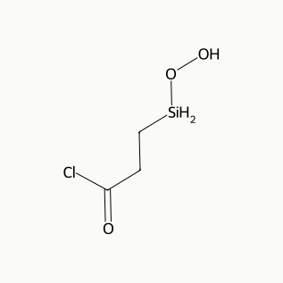 O=C(Cl)CC[SiH2]OO